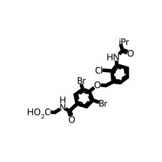 CC(C)C(=O)Nc1cccc(COc2c(Br)cc(C(=O)NCC(=O)O)cc2Br)c1Cl